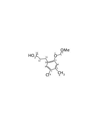 COCOc1cc(C)c(Cl)cc1CCC(=O)O